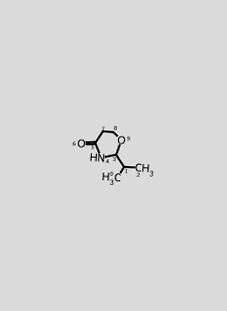 CC(C)C1NC(=O)CCO1